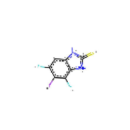 Fc1cc2[nH]c(=S)[nH]c2c(F)c1I